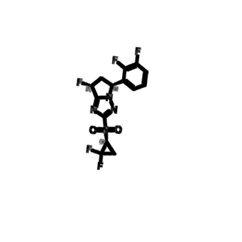 O=S(=O)(c1nc2n(n1)[C@H](c1cccc(F)c1F)C[C@@H]2F)[C@H]1CC1(F)F